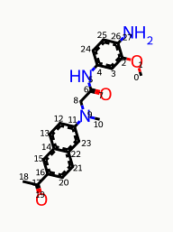 COc1cc(NC(=O)CN(C)c2ccc3cc(C(C)=O)ccc3c2)ccc1N